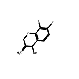 C=C1COc2c(ccc(F)c2F)C1O